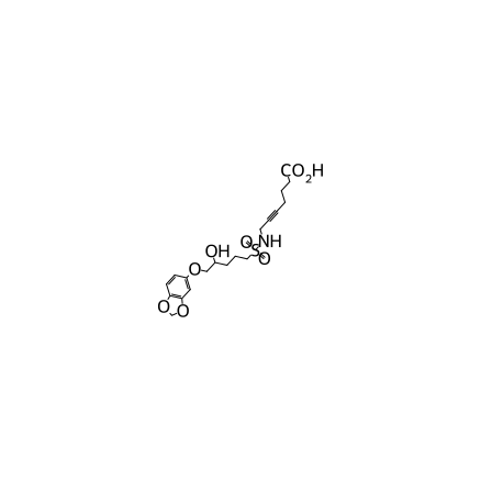 O=C(O)CCCC#CCNS(=O)(=O)CCCC(O)COc1ccc2c(c1)OCO2